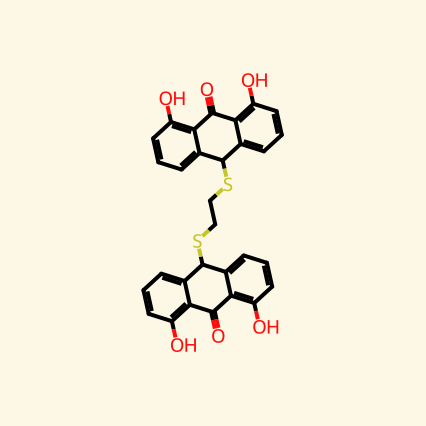 O=C1c2c(O)cccc2C(SCCSC2c3cccc(O)c3C(=O)c3c(O)cccc32)c2cccc(O)c21